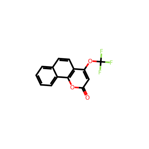 O=c1cc(OC(F)(F)F)c2ccc3ccccc3c2o1